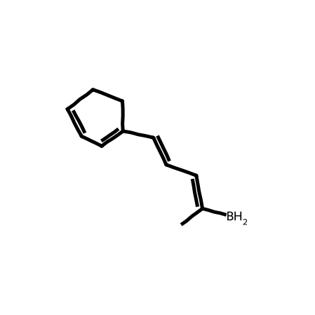 BC(C)=CC=CC1=CC=CCC1